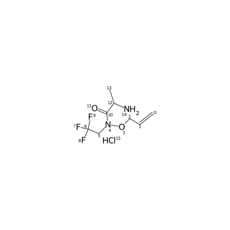 C=CCON(CC(F)(F)F)C(=O)C(C)N.Cl